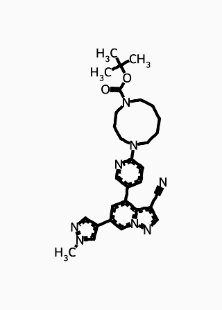 Cn1cc(-c2cc(-c3ccc(N4CCCCCN(C(=O)OC(C)(C)C)CCC4)nc3)c3c(C#N)cnn3c2)cn1